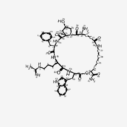 N=C(N)NCCCC1NC(=O)[C@@H](Cc2ccccc2)NC(=O)[C@@H]2C[C@@H](O)CN2C(=O)[C@@H](N)CCC(=O)NCCCCC(C(N)=O)NC(=O)C(Cc2c[nH]c3ccccc23)NC1=O